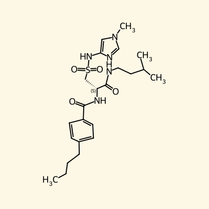 CCCCc1ccc(C(=O)N[C@H](CS(=O)(=O)Nc2cn(C)cn2)C(=O)NCCC(C)C)cc1